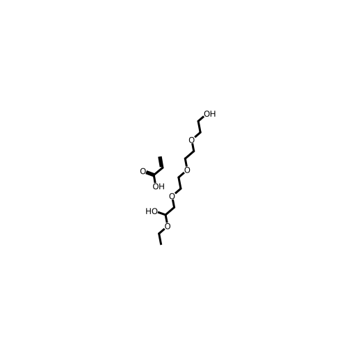 C=CC(=O)O.CCOC(O)COCCOCCOCCO